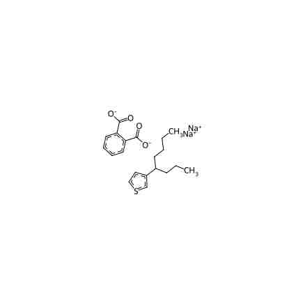 CCCCC(CCC)c1ccsc1.O=C([O-])c1ccccc1C(=O)[O-].[Na+].[Na+]